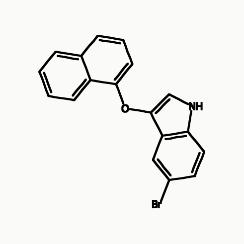 Brc1ccc2[nH]cc(Oc3cccc4ccccc34)c2c1